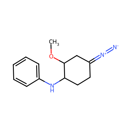 COC1CC(=[N+]=[N-])CCC1Nc1ccccc1